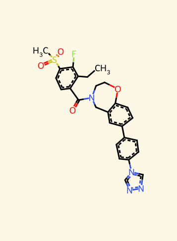 CCc1c(C(=O)N2CCOc3ccc(-c4ccc(-n5cnnc5)cc4)cc3C2)ccc(S(C)(=O)=O)c1F